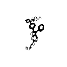 O=C(O)NC1(c2ccc(-c3oc4nc(OCCO)ncc4c3-c3ccccc3)cc2)CCC1